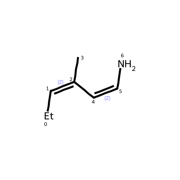 CC/C=C(C)\C=C/N